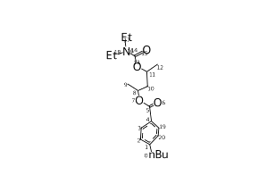 CCCCc1ccc(C(=O)OC(C)CC(C)OC(=O)N(CC)CC)cc1